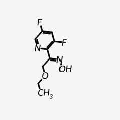 CCOC/C(=N\O)c1ncc(F)cc1F